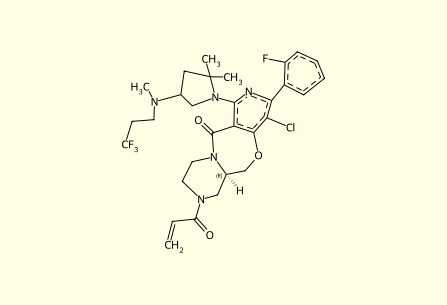 C=CC(=O)N1CCN2C(=O)c3c(N4CC(N(C)CCC(F)(F)F)CC4(C)C)nc(-c4ccccc4F)c(Cl)c3OC[C@H]2C1